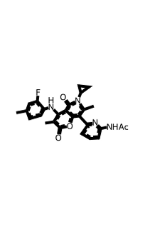 CC(=O)Nc1cccc(-c2c(C)n(C3CC3)c(=O)c3c(Nc4ccc(C)cc4F)c(C)c(=O)oc23)n1